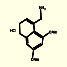 COc1cc2c(c(OC)c1)C(CN)=CCC2.Cl